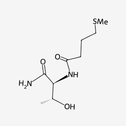 CSCCCC(=O)N[C@H](C(N)=O)[C@@H](C)O